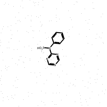 O=S(=O)(O)N(c1ccccc1)c1n[c]ncn1